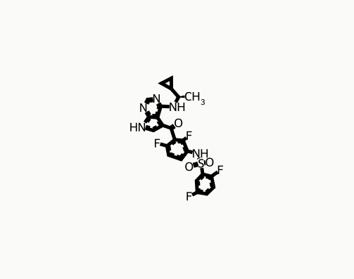 C[C@@H](Nc1ncnc2[nH]cc(C(=O)c3c(F)ccc(NS(=O)(=O)c4cc(F)ccc4F)c3F)c12)C1CC1